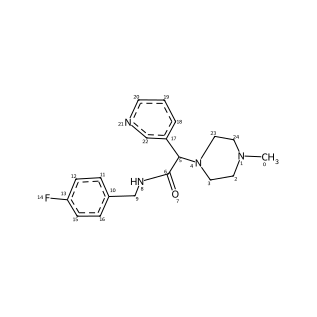 CN1CCN(C(C(=O)NCc2ccc(F)cc2)c2cccnc2)CC1